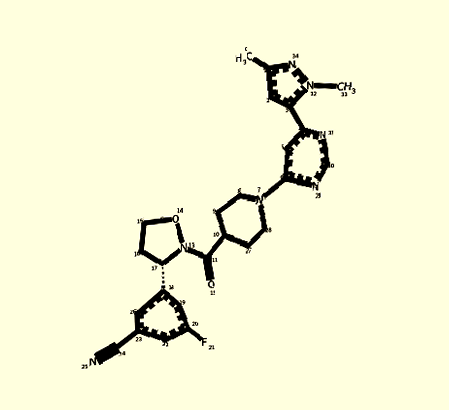 Cc1cc(-c2cc(N3CCC(C(=O)N4OCC[C@H]4c4cc(F)cc(C#N)c4)CC3)ncn2)n(C)n1